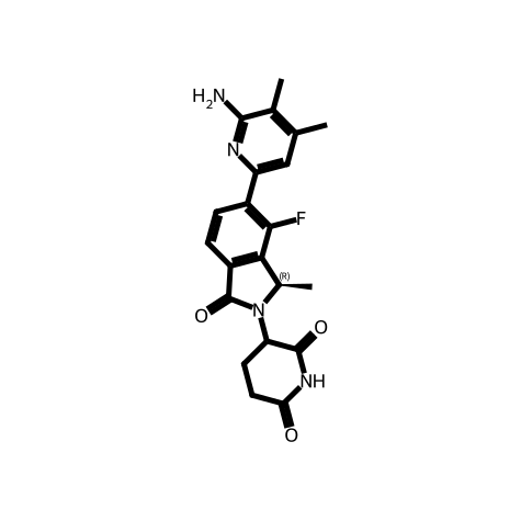 Cc1cc(-c2ccc3c(c2F)[C@@H](C)N(C2CCC(=O)NC2=O)C3=O)nc(N)c1C